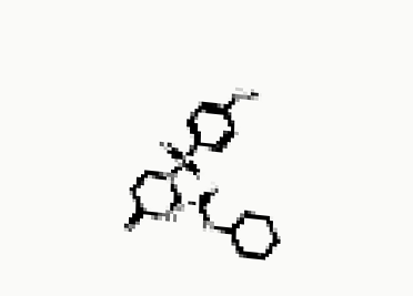 COc1ccc(S(=O)(=O)N2CCC(=O)N[C@H]2C(=O)NC2CCCCC2)cc1